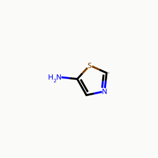 Nc1cn[c]s1